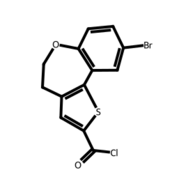 O=C(Cl)c1cc2c(s1)-c1cc(Br)ccc1OCC2